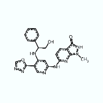 Cn1[nH]c(=O)c2ccc(Nc3cc(N[C@H](CO)c4ccccc4)c(-c4nnco4)cn3)nc21